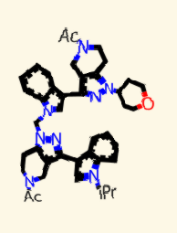 CC(=O)N1CCc2c(c(-c3cn(C(C)C)c4ccccc34)nn2Cn2cc(-c3nn(C4CCOCC4)c4c3CN(C(C)=O)CC4)c3ccccc32)C1